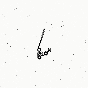 CCCCCCCCCCCCCCC1CCC(C(=O)Oc2ccccc2CCc2ccc(C#N)cc2)CC1